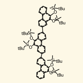 CC(C)(C)[Si](C)(C)Oc1c(O[Si](C)(C)C(C)(C)C)c2cc(-c3ccc4c(c3)c(O[Si](C)(C)C(C)(C)C)c(O[Si](C)(C)C(C)(C)C)c3cc(-c5ccc6c(c5)c(O[Si](C)(C)C(C)(C)C)c(O[Si](C)(C)C(C)(C)C)c5ccccc56)ccc34)ccc2c2ccccc12